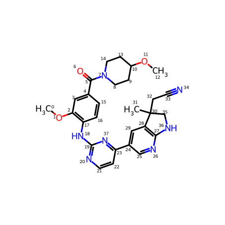 COc1cc(C(=O)N2CCC(OC)CC2)ccc1Nc1nccc(-c2cnc3c(c2)C(C)(CC#N)CN3)n1